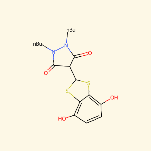 CCCCN1C(=O)C(C2Sc3c(O)ccc(O)c3S2)C(=O)N1CCCC